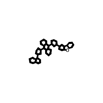 C1=CC2Oc3ccc(-c4cccc(-c5c6ccccc6c(-c6cccc(-c7cccc8ccccc78)c6)c6ccccc56)c4)cc3C2C=C1